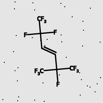 FC(F)(F)C(F)(F)C=CC(F)(C(F)(F)F)C(F)(F)F